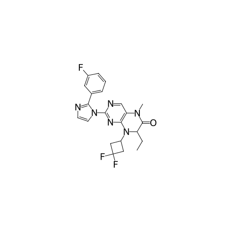 CCC1C(=O)N(C)c2cnc(-n3ccnc3-c3cccc(F)c3)nc2N1C1CC(F)(F)C1